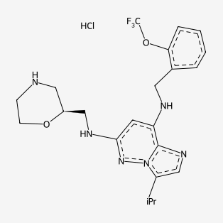 CC(C)c1cnc2c(NCc3ccccc3OC(F)(F)F)cc(NC[C@@H]3CNCCO3)nn12.Cl